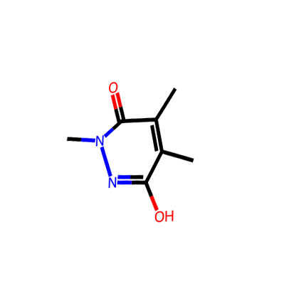 Cc1c(O)nn(C)c(=O)c1C